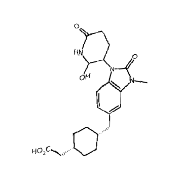 Cn1c(=O)n(C2CCC(=O)NC2O)c2ccc(C[C@H]3CC[C@@H](CC(=O)O)CC3)cc21